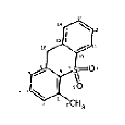 Cc1cccc2c1S(=O)(=O)c1ccccc1C2